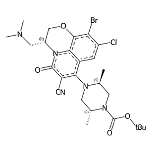 C[C@@H]1CN(c2c(C#N)c(=O)n3c4c(c(Br)c(Cl)cc24)OC[C@H]3CN(C)C)[C@@H](C)CN1C(=O)OC(C)(C)C